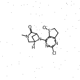 CN1C[C@@H]2CC(C1=O)N2c1nc(Cl)nc2c1[S@@+]([O-])CC2